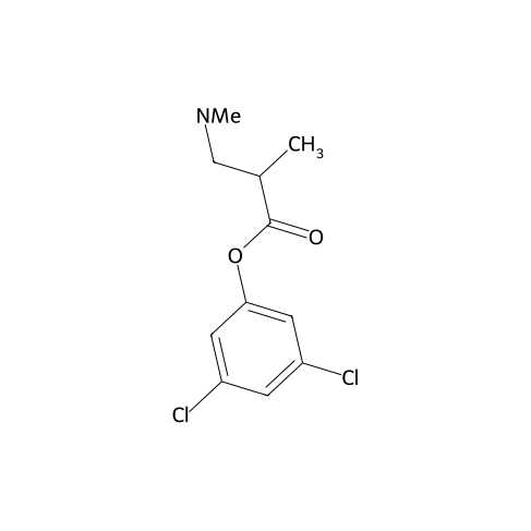 CNCC(C)C(=O)Oc1cc(Cl)cc(Cl)c1